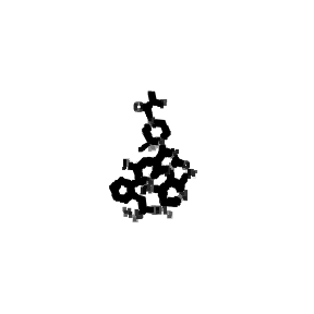 BC(B)=Cc1ccccc1-c1nc2c(cc1F)c(N1CCN(C(=O)C(=C)F)C[C@@H]1C)nc(=O)n2-c1c(C(C)C)ccnc1C(C)C